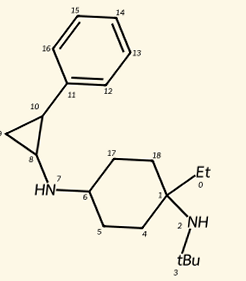 CCC1(NC(C)(C)C)CCC(NC2CC2c2ccccc2)CC1